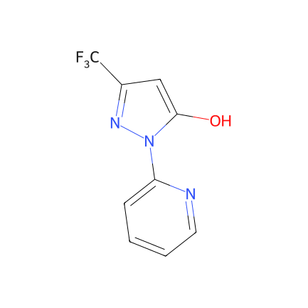 Oc1cc(C(F)(F)F)nn1-c1ccccn1